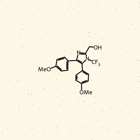 COc1ccc(-c2nc(CO)n(C(F)(F)F)c2-c2ccc(OC)cc2)cc1